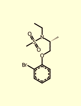 CCN([C@H](C)COc1ccccc1Br)S(C)(=O)=O